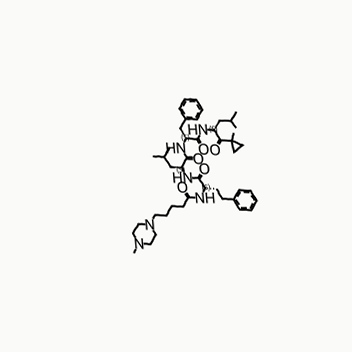 CC(C)C[C@H](NC(=O)[C@H](CCc1ccccc1)NC(=O)CCCCN1CCN(C)CC1)C(=O)N[C@@H](Cc1ccccc1)C(=O)N[C@@H](CC(C)C)C(=O)C1(C)CC1